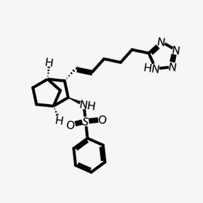 O=S(=O)(N[C@H]1[C@H]2CC[C@H](C2)[C@@H]1C=CCCCc1nnn[nH]1)c1ccccc1